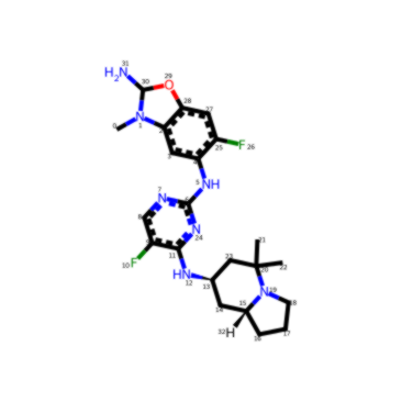 CN1c2cc(Nc3ncc(F)c(N[C@@H]4C[C@H]5CCCN5C(C)(C)C4)n3)c(F)cc2OC1N